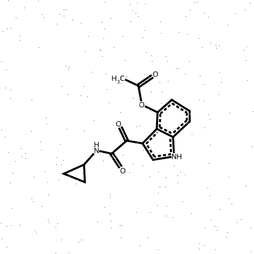 CC(=O)Oc1cccc2[nH]cc(C(=O)C(=O)NC3CC3)c12